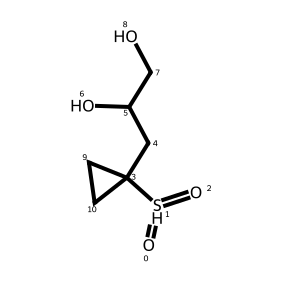 O=[SH](=O)C1(CC(O)CO)CC1